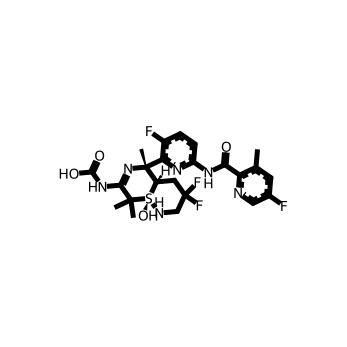 Cc1cc(F)cnc1C(=O)Nc1ccc(F)c([C@@]2(C)N=C(NC(=O)O)C(C)(C)[S@@]3(O)NCC(F)(F)C[C@H]23)n1